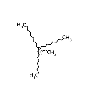 CCCCCCCCC[PH](CCC)(CCCCCCCCC)CCCCCCCCC